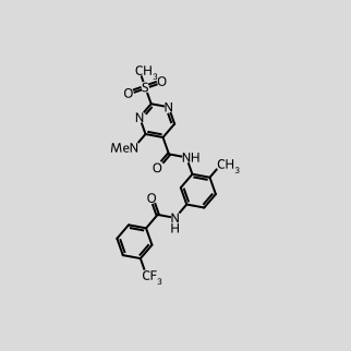 CNc1nc(S(C)(=O)=O)ncc1C(=O)Nc1cc(NC(=O)c2cccc(C(F)(F)F)c2)ccc1C